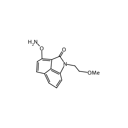 COCCN1C(=O)c2c(ON)ccc3cccc1c23